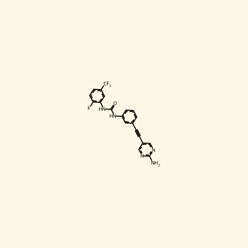 Nc1ncc(C#Cc2cccc(NC(=O)Nc3cc(C(F)(F)F)ccc3F)c2)cn1